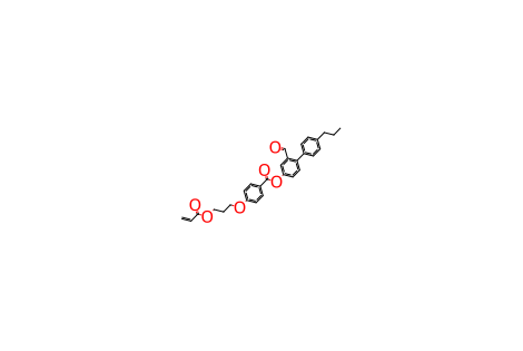 C=CC(=O)OCCCOc1ccc(C(=O)Oc2ccc(-c3ccc(CCC)cc3)c(C=O)c2)cc1